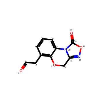 O=CCc1cccc2c1OCc1noc(=O)n1-2